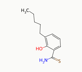 CCCCCc1cccc(C(N)=S)c1O